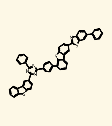 c1ccc(-c2ccc3nc(-c4ccc5sc6c(-c7ccc(-c8nc(-c9ccccc9)nc(-c9ccc%10sc%11ccccc%11c%10c9)n8)cc7)cccc6c5c4)sc3c2)cc1